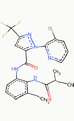 Cc1cccc(NC(=O)c2cc(C(F)(F)F)nn2-c2ncccc2Cl)c1NC(=O)C(C)C